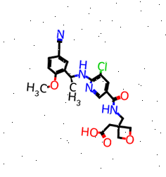 COc1ccc(C#N)cc1[C@H](C)Nc1ncc(C(=O)NCC2(CC(=O)O)COC2)cc1Cl